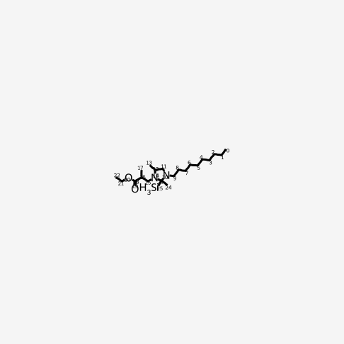 CCCCCCCCCCN1CC(C)N(CC(C)C(=O)OCC)C1(C)[SiH3]